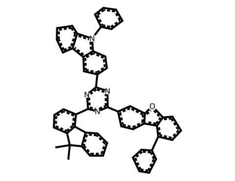 CC1(C)c2ccccc2-c2c(-c3nc(-c4ccc5c(c4)oc4cccc(-c6ccccc6)c45)nc(-c4ccc5c(c4)c4ccccc4n5-c4ccccc4)n3)cccc21